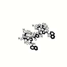 CN[C@@H](C)C(=O)N[C@H](C(=O)N1C[C@@H](NC(=O)[C@H]2CC[C@@](C)(C(=O)N[C@H]3C[C@@H](C(=O)N[C@@H]4CCCc5ccccc54)N(C(=O)[C@@H](NC(=O)[C@H](C)NC)C(C)(C)C)C3)C2(C)C)C[C@H]1C(=O)N[C@@H]1CCCc2ccccc21)C(C)(C)C